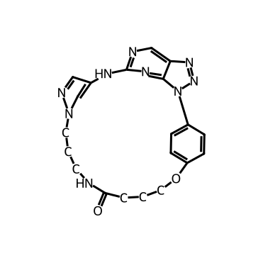 O=C1CCCOc2ccc(cc2)-n2nnc3cnc(nc32)Nc2cnn(c2)CCCN1